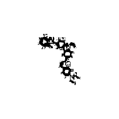 CCN(CC)c1ccc2c(c1)OC(c1ccc3c(c1)c1cc(-c4nc5ccccc5s4)ccc1n3CC)C=C2